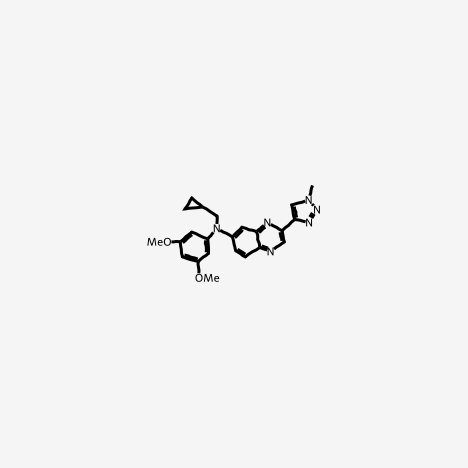 COc1cc(OC)cc(N(CC2CC2)c2ccc3ncc(-c4cn(C)nn4)nc3c2)c1